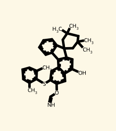 Cc1cccc(C)c1Sc1cc2c3c(cc(O)c2cc1OC=N)C1(CC(C)(C)CC(C)(C)C1)c1ccccc1-3